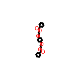 O=C(OCCOc1ccc(OCCOC(=O)c2ccccc2)cc1)c1ccccc1